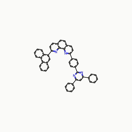 c1ccc(-c2cc(-c3ccccc3)nc(-c3ccc(-c4ccc5ccc6ccc(-c7cc8ccccc8c8ccccc78)nc6c5n4)cc3)n2)cc1